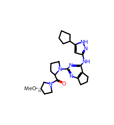 CO[C@H]1CCN(C(=O)C2CCCN2c2nc3c(c(Nc4cc(C5CCCC5)[nH]n4)n2)CCC3)C1